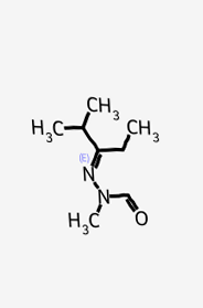 CC/C(=N\N(C)C=O)C(C)C